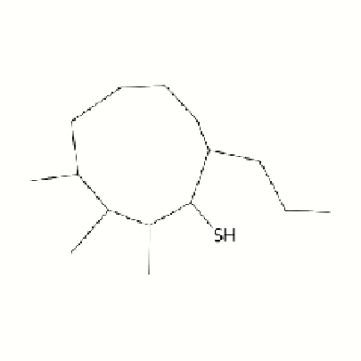 CCCC1CCCCC(C)C(C)C(C)C1S